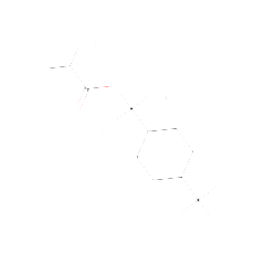 CC(C(=O)OC(C1CCC(C(O)(C(F)(F)F)C(F)(F)F)CC1)(C(F)(F)F)C(F)(F)F)C(F)(F)F